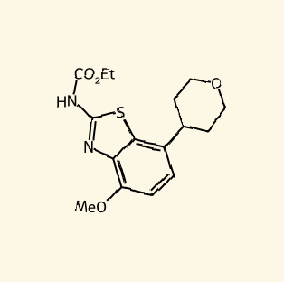 CCOC(=O)Nc1nc2c(OC)ccc(C3CCOCC3)c2s1